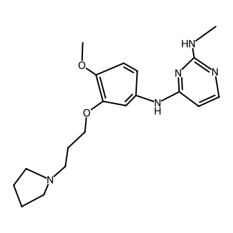 CNc1nccc(Nc2ccc(OC)c(OCCCN3CCCC3)c2)n1